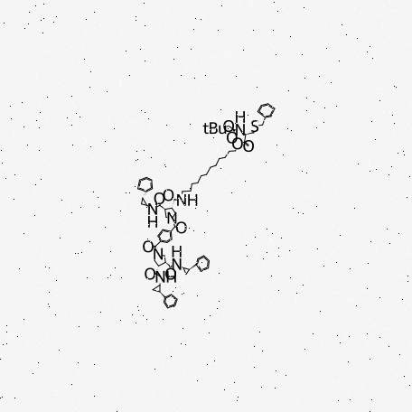 CC(C)(C)OC(=O)N[C@@H](CSCc1ccccc1)C(=O)OCCCCCCCCCCCCNC(=O)[C@@H]1CN(C(=O)c2ccc(C(=O)N3C[C@@H](C(=O)N[C@H]4C[C@@H]4c4ccccc4)[C@H](C(=O)N[C@H]4C[C@@H]4c4ccccc4)C3)cc2)C[C@H]1C(=O)N[C@H]1C[C@@H]1c1ccccc1